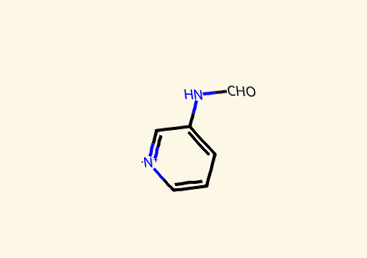 O=CNC1=CC=C[N+]=C1